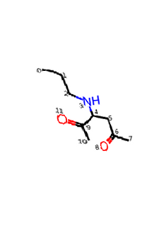 CCCNC(CC(C)=O)C(C)=O